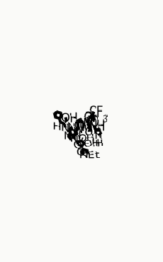 CCc1cc([C@H]2O[C@@H](n3cnc4c(N[C@H](CO)Cc5ccccc5)nc(N5CC[C@@H](N(OC(=O)C(F)(F)F)C(=O)NC6CCNC6)C5)nc43)[C@@H](O)[C@@H]2O)on1